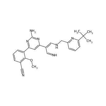 COc1c(C#N)cccc1-c1cc(/C(C=N)=C/NCc2cccc(C(C)(C)C)n2)nc(N)n1